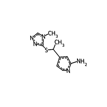 CC(Sc1nncn1C)c1ccnc(N)c1